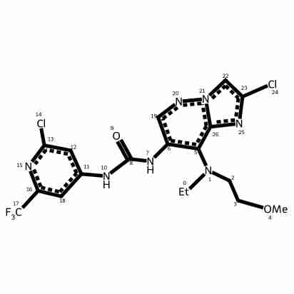 CCN(CCOC)c1c(NC(=O)Nc2cc(Cl)nc(C(F)(F)F)c2)cnn2cc(Cl)nc12